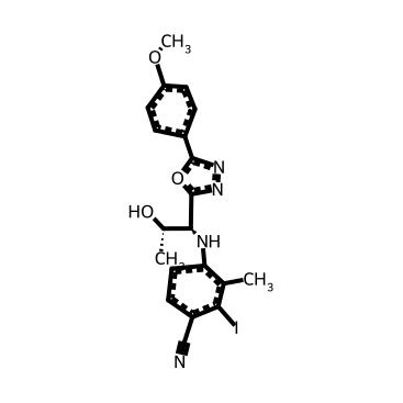 COc1ccc(-c2nnc([C@H](Nc3ccc(C#N)c(I)c3C)[C@H](C)O)o2)cc1